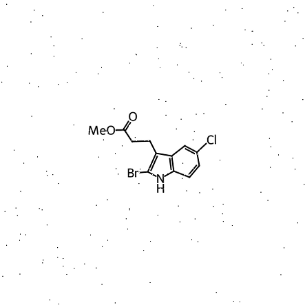 COC(=O)CCc1c(Br)[nH]c2ccc(Cl)cc12